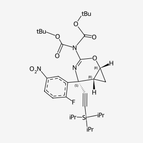 CC(C)[Si](C#C[C@]1(c2cc([N+](=O)[O-])ccc2F)N=C(N(C(=O)OC(C)(C)C)C(=O)OC(C)(C)C)O[C@@H]2C[C@@H]21)(C(C)C)C(C)C